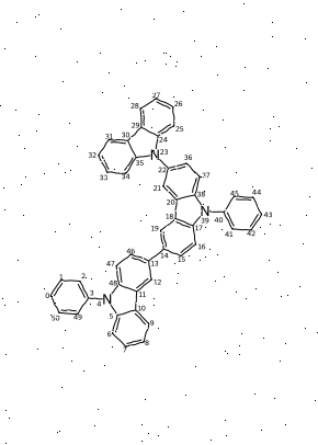 c1ccc(-n2c3ccccc3c3cc(-c4ccc5c(c4)c4cc(-n6c7ccccc7c7ccccc76)ccc4n5-c4ccccc4)ccc32)cc1